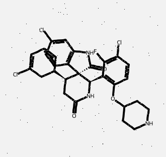 O=C1C[C@@H](C2C=CC=C(Cl)C2)[C@]2(C(=O)Nc3cc(Cl)ccc32)[C@@H](c2c(OC3CCNCC3)ccc(Cl)c2F)N1